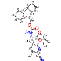 Cc1cc(C[C@H](NC(=O)OCC2c3ccccc3-c3ccccc32)C(=O)OC(C)(C)C)cnc1C#N